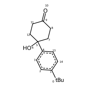 CC(C)(C)c1ccc(C2(O)CCC(=O)CC2)cc1